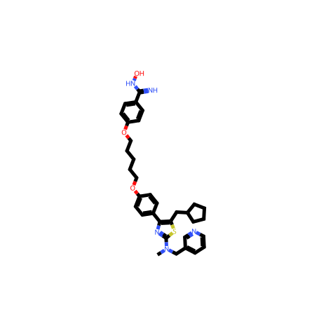 CN(Cc1cccnc1)c1nc(-c2ccc(OCCCCCOc3ccc(C(=N)NO)cc3)cc2)c(CC2CCCC2)s1